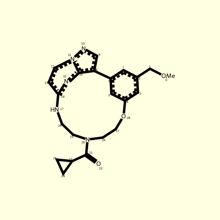 COCc1cc2cc(c1)-c1cnn3ccc(nc13)NCCN(C(=O)C1CC1)CCO2